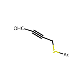 CC(=O)SCC#CC=O